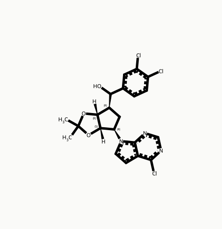 CC1(C)O[C@@H]2[C@H](O1)[C@@H](C(O)c1ccc(Cl)c(Cl)c1)C[C@H]2n1ccc2c(Cl)ncnc21